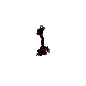 CO[C@@H]1C(N(C)C(=O)CCOCCOCCOCCOCC#Cc2cccc3c2C(=O)N(C2CCC(=O)NC2=O)C3=O)C[C@H]2O[C@]1(C)n1c3ccccc3c3c4c(c5c6ccccc6n2c5c31)C(=O)NC4